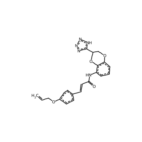 C=CCOc1ccc(/C=C/C(=O)Nc2cccc3c2OC(c2nnn[nH]2)CO3)cc1